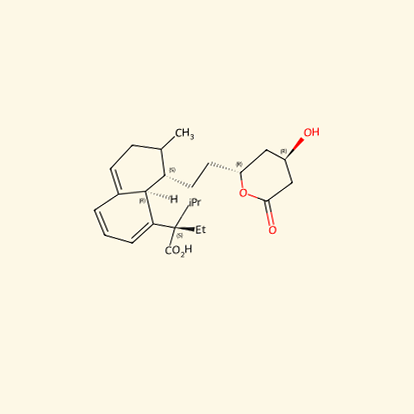 CC[C@@](C(=O)O)(C1=CC=CC2=CCC(C)[C@H](CC[C@@H]3C[C@@H](O)CC(=O)O3)[C@H]21)C(C)C